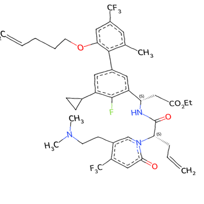 C=CCCCOc1cc(C(F)(F)F)cc(C)c1-c1cc(C2CC2)c(F)c([C@H](CC(=O)OCC)NC(=O)[C@H](CC=C)n2cc(CCN(C)C)c(C(F)(F)F)cc2=O)c1